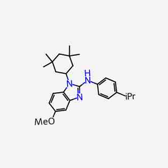 COc1ccc2c(c1)nc(Nc1ccc(C(C)C)cc1)n2C1CC(C)(C)CC(C)(C)C1